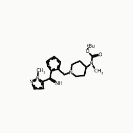 CN(C(=O)OC(C)(C)C)C1CCN(Cc2ccccc2C(=N)c2ccnn2C)CC1